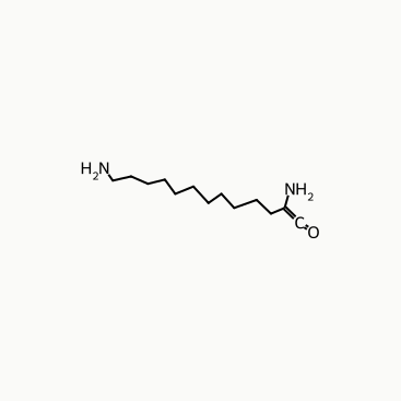 NCCCCCCCCCCCC(N)=C=O